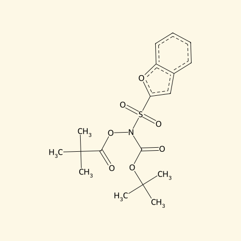 CC(C)(C)OC(=O)N(OC(=O)C(C)(C)C)S(=O)(=O)c1cc2ccccc2o1